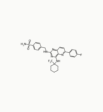 NS(=O)(=O)c1ccc(CNc2nc(NC3(C(F)(F)F)CCCCC3)c3nc(-c4ccc(F)cc4)ccc3n2)cc1